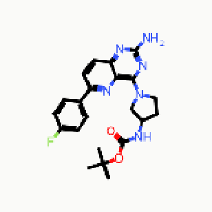 CC(C)(C)OC(=O)N[C@@H]1CCN(c2nc(N)nc3ccc(-c4ccc(F)cc4)nc23)C1